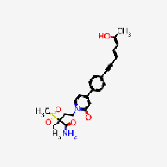 C/C(O)=C/C=C/C#Cc1ccc(-c2ccn(CCC(C)(C(N)=O)S(C)(=O)=O)c(=O)c2)cc1